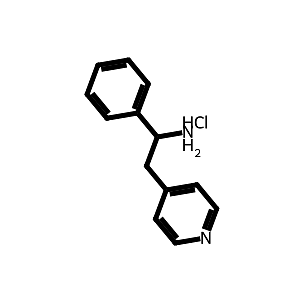 Cl.NC(Cc1ccncc1)c1ccccc1